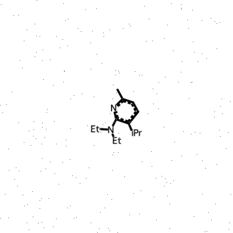 CCN(CC)c1nc(C)ccc1C(C)C